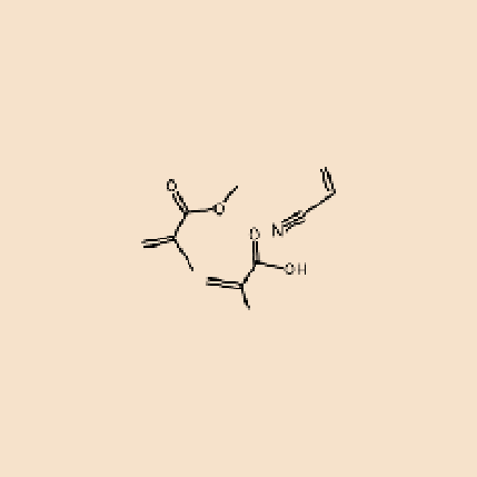 C=C(C)C(=O)O.C=C(C)C(=O)OC.C=CC#N